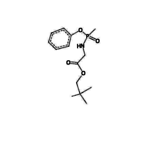 CC(C)(C)COC(=O)CNP(C)(=O)Oc1ccccc1